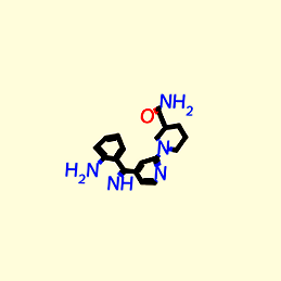 N=C(c1ccnc(N2CCCC(C(N)=O)C2)c1)c1ccccc1N